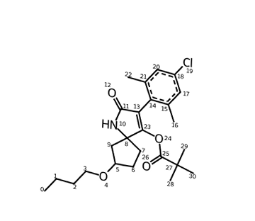 CCCCOC1CCC2(C1)NC(=O)C(c1c(C)cc(Cl)cc1C)=C2OC(=O)C(C)(C)C